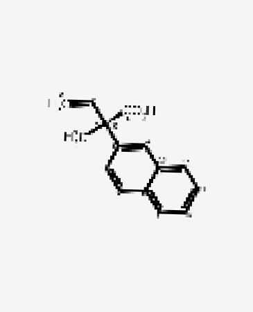 C=C[C@](C)(C(=O)O)c1ccc2ccccc2c1